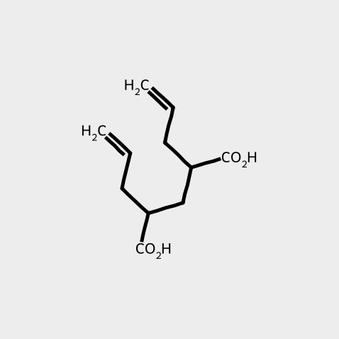 C=CCC(CC(CC=C)C(=O)O)C(=O)O